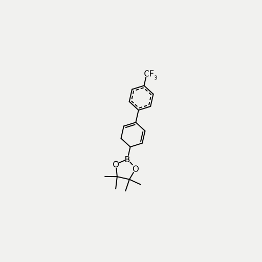 CC1(C)OB(C2C=CC(c3ccc(C(F)(F)F)cc3)=CC2)OC1(C)C